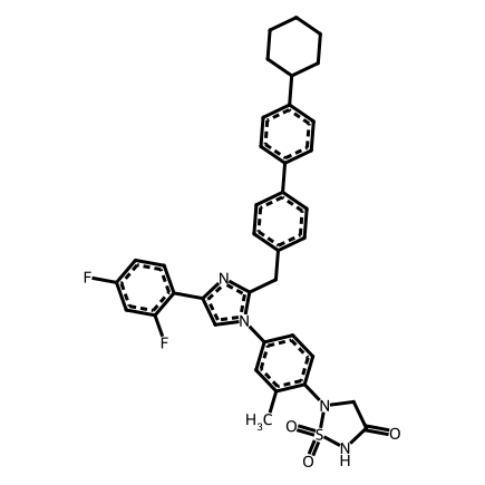 Cc1cc(-n2cc(-c3ccc(F)cc3F)nc2Cc2ccc(-c3ccc(C4CCCCC4)cc3)cc2)ccc1N1CC(=O)NS1(=O)=O